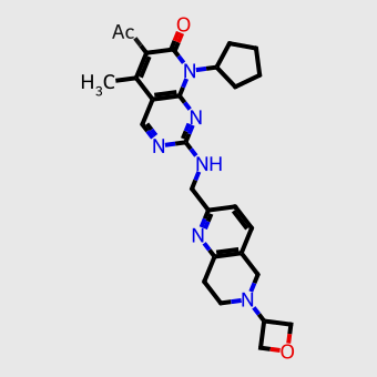 CC(=O)c1c(C)c2cnc(NCc3ccc4c(n3)CCN(C3COC3)C4)nc2n(C2CCCC2)c1=O